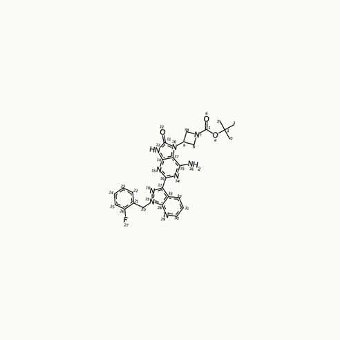 CC(C)(C)OC(=O)N1CC(n2c(=O)[nH]c3nc(-c4nn(Cc5ccccc5F)c5ncccc45)nc(N)c32)C1